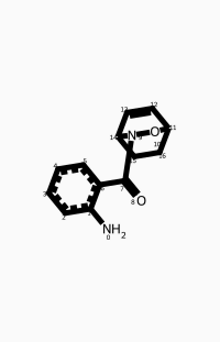 Nc1ccccc1C(=O)N1OC2C=CC1CC2